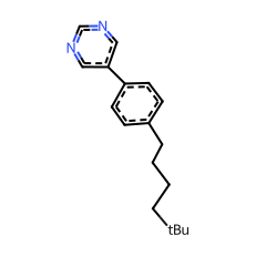 CC(C)(C)CCCCc1ccc(-c2cncnc2)cc1